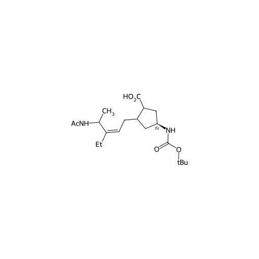 CCC(=CCC1C[C@H](NC(=O)OC(C)(C)C)CC1C(=O)O)C(C)NC(C)=O